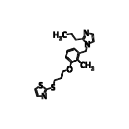 CCCc1nccn1Cc1cccc(OCCCSc2nccs2)c1C